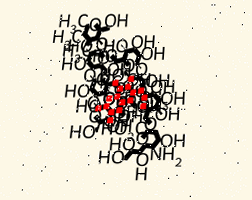 CC1C(O)[C@H](O[C@@H]2OC(CO)[C@H](O)C(O)[C@@H]2O)[C@H](CO)O[C@H]1O[C@@H]1C(O)[C@H](O)C(CO)O[C@@H]1OCC1O[C@@H](O[C@@H]2C(CO)O[C@@H](O[C@@H]3C(CO)O[C@@H](C)[C@@H](C)C3O)[C@@H](C)C2O)[C@H](O)C(O[C@H]2O[C@H](CO)[C@@H](O)C(O)C2O[C@@H]2OC(CO)[C@@H](OC3OC(CO[C@]4(C(=O)O)C[C@@H](O)[C@@H](N)C([C@H](O)C(O)CO)O4)[C@H](O)[C@H](O)C3O)C(O)[C@@H]2C)[C@@H]1O